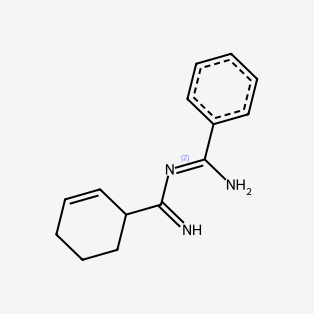 N=C(/N=C(\N)c1ccccc1)C1C=CCCC1